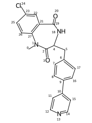 CN1C(=O)C(Cc2ccc(-c3ccncc3)cc2)NC(=O)c2cc(Cl)ccc21